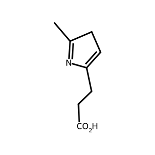 CC1=NC(CCC(=O)O)=CC1